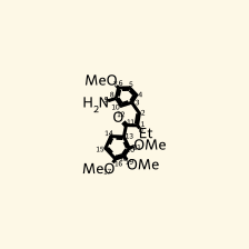 CCC(=Cc1ccc(OC)c(N)c1)C(=O)c1ccc(OC)c(OC)c1OC